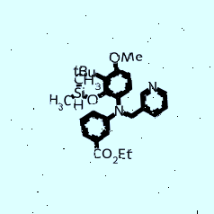 CCOC(=O)c1cccc(N(Cc2cccnc2)c2ccc(OC)c(C(C)(C)C)c2O[SiH](C)C)c1